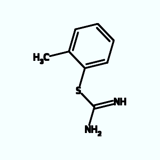 Cc1ccccc1SC(=N)N